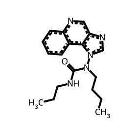 CCCCN(C(=O)NCCC)n1cnc2cnc3ccccc3c21